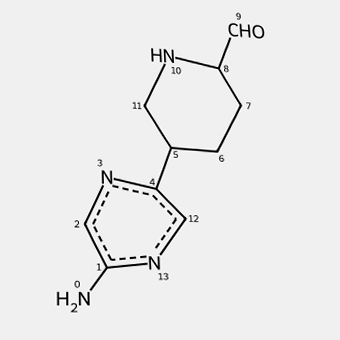 Nc1cnc(C2CCC(C=O)NC2)cn1